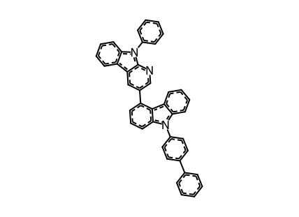 c1ccc(-c2ccc(-n3c4ccccc4c4c(-c5cnc6c(c5)c5ccccc5n6-c5ccccc5)cccc43)cc2)cc1